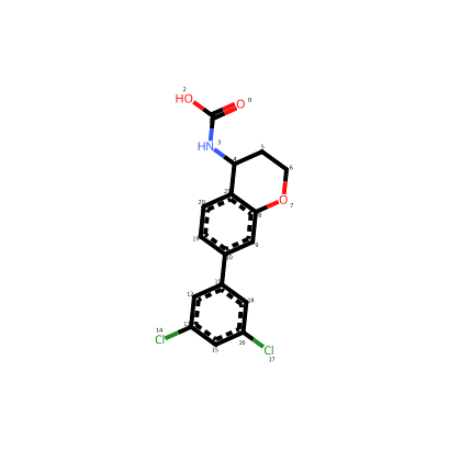 O=C(O)NC1CCOc2cc(-c3cc(Cl)cc(Cl)c3)ccc21